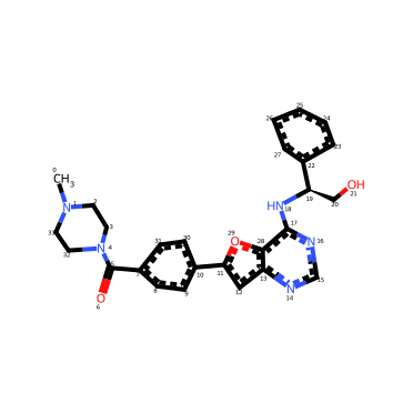 CN1CCN(C(=O)c2ccc(-c3cc4ncnc(N[C@H](CO)c5ccccc5)c4o3)cc2)CC1